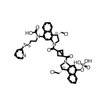 O=C(O)N(CCSSc1ccccn1)c1cc2c(c3ccccc13)[C@H](CCl)CN2C(=O)C12CC(C(=O)N3C[C@@H](CCl)c4c3cc(OP(=O)(O)O)c3ccccc43)(C1)C2